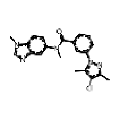 Cc1nn(-c2cccc(C(=O)N(C)c3ccc4c(c3)ncn4C)c2)c(C)c1Cl